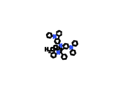 CC1(C)c2ccccc2-n2c(-c3ccccc3)c3c4cc(N(c5ccccc5)c5ccccc5)ccc4n(-c4ccc5c(c4)C4C=CC=CC4N5c4ccccc4)c3c21